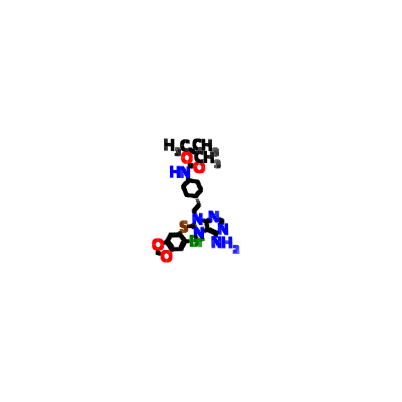 CC(C)(C)OC(=O)N[C@H]1CC[C@H](CCn2c(Sc3cc4c(cc3Br)OCO4)nc3c(N)ncnc32)CC1